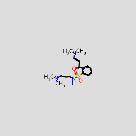 CN(C)C=CC(=O)c1ccccc1S(=O)(=O)NCCCN(C)C